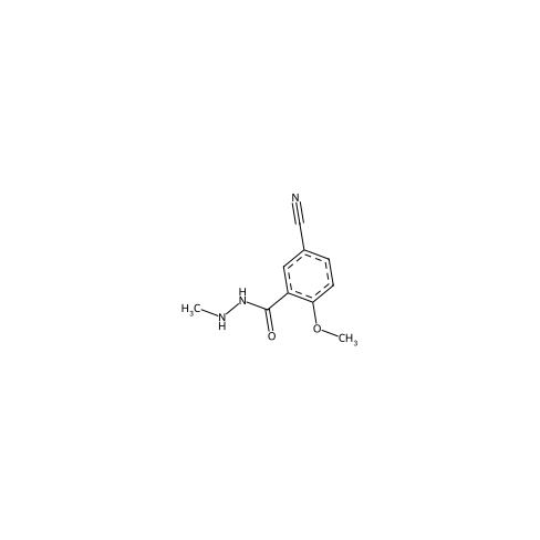 CNNC(=O)c1cc(C#N)ccc1OC